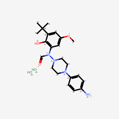 COc1cc(N(C=O)N2CCN(c3ccc(N)cc3)CC2)c(O)c(C(C)(C)C)c1.Cl.Cl